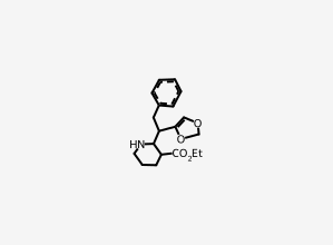 CCOC(=O)C1CCCNC1C(Cc1ccccc1)C1=COCO1